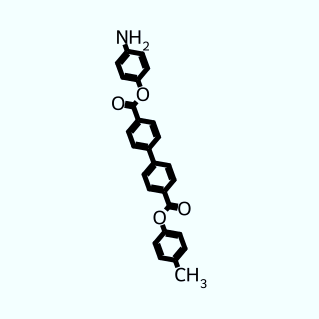 Cc1ccc(OC(=O)c2ccc(-c3ccc(C(=O)Oc4ccc(N)cc4)cc3)cc2)cc1